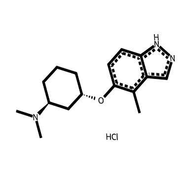 Cc1c(O[C@H]2CCC[C@H](N(C)C)C2)ccc2[nH]ncc12.Cl